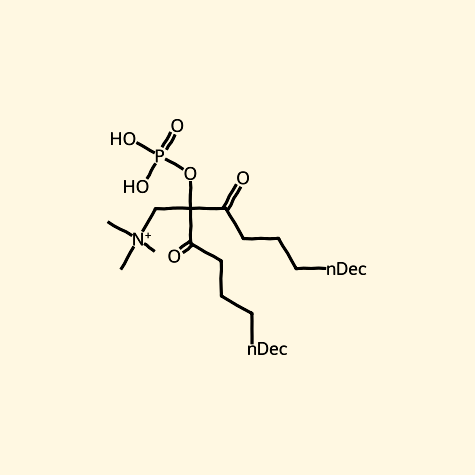 CCCCCCCCCCCCCC(=O)C(C[N+](C)(C)C)(OP(=O)(O)O)C(=O)CCCCCCCCCCCCC